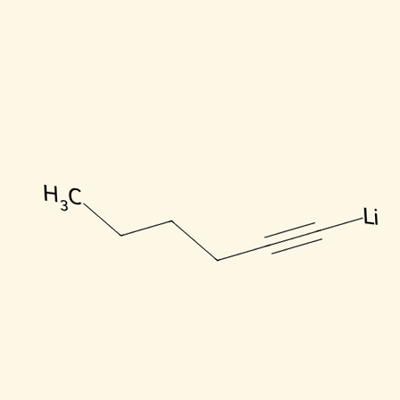 [Li][C]#CCCCC